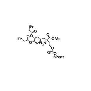 CCCCCOC(=O)OCC[C@@](N)(Cc1ccc(OC(=O)CC(C)C)c(OC(=O)CC(C)C)c1)C(=O)OC